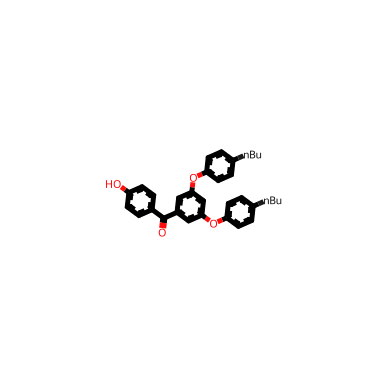 CCCCc1ccc(Oc2cc(Oc3ccc(CCCC)cc3)cc(C(=O)c3ccc(O)cc3)c2)cc1